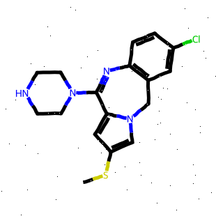 CSc1cc2n(c1)Cc1cc(Cl)ccc1N=C2N1CCNCC1